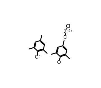 Cc1cc(C)c([O-])c(C)c1.Cc1cc(C)c([O-])c(C)c1.[Cl][Zr+2][Cl]